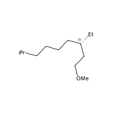 CC[C@@H](CCCCC(C)C)CCOC